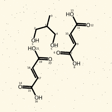 CC(CO)CO.O=C(O)C=CC(=O)O.O=C(O)C=CC(=O)O